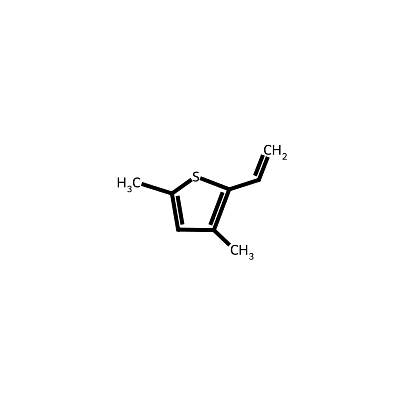 C=Cc1sc(C)cc1C